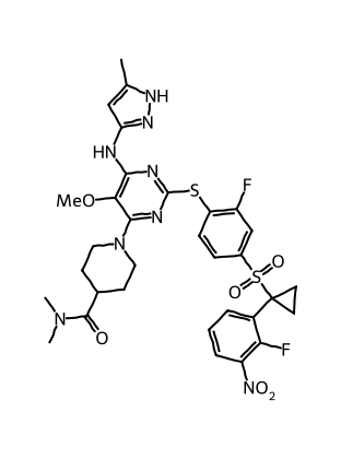 COc1c(Nc2cc(C)[nH]n2)nc(Sc2ccc(S(=O)(=O)C3(c4cccc([N+](=O)[O-])c4F)CC3)cc2F)nc1N1CCC(C(=O)N(C)C)CC1